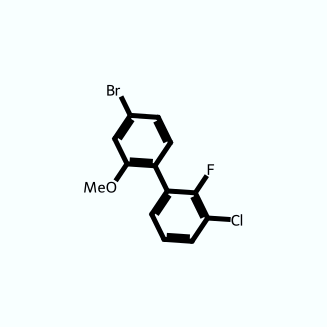 COc1cc(Br)ccc1-c1cccc(Cl)c1F